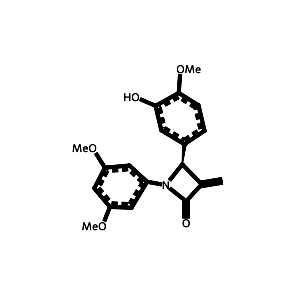 C=C1C(=O)N(c2cc(OC)cc(OC)c2)[C@H]1c1ccc(OC)c(O)c1